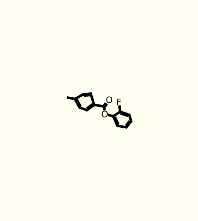 Cc1ccc(C(=O)Oc2ccccc2F)cc1